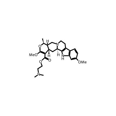 COC1=C(C(=O)OCCN(C)C)[C@H]2C[C@@H]3c4[nH]c5cc(OC)ccc5c4CCN3C[C@H]2[C@H](C)O1